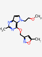 COCCn1ccc2nc(C)nc(OCc3cc(C)on3)c21